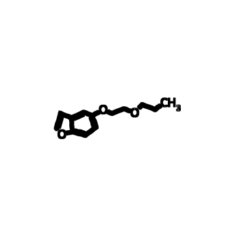 CCCOCCOc1ccc2occc2c1